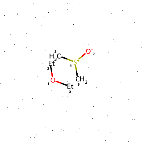 CCOCC.C[S+](C)[O-]